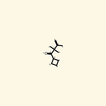 C=C(C)C(C)(C)C(=O)C1CCC1